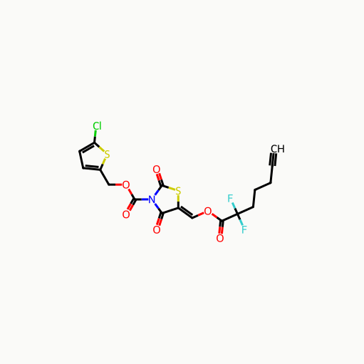 C#CCCCC(F)(F)C(=O)O/C=C1\SC(=O)N(C(=O)OCc2ccc(Cl)s2)C1=O